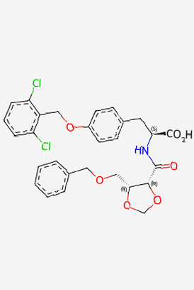 O=C(O)[C@H](Cc1ccc(OCc2c(Cl)cccc2Cl)cc1)NC(=O)[C@@H]1OCO[C@@H]1COCc1ccccc1